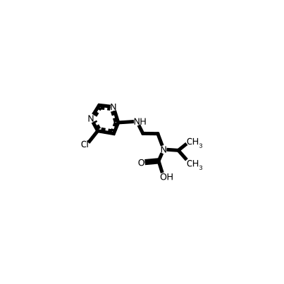 CC(C)N(CCNc1cc(Cl)ncn1)C(=O)O